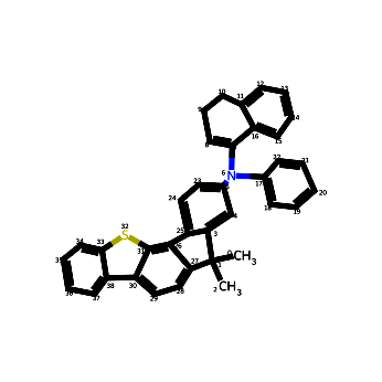 CC1(C)c2cc(N(C3=CCCc4ccccc43)c3ccccc3)ccc2-c2c1ccc1c2sc2ccccc21